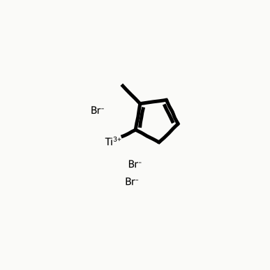 CC1=[C]([Ti+3])CC=C1.[Br-].[Br-].[Br-]